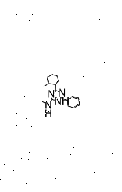 CNC1N=C(C2CCCCC2C)N=C(c2ccccc2)N1